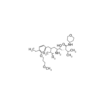 CCc1ccc(CC(C[C@H](N)C(O)C[C@H](C(=O)NC2CCOCC2)C(C)C)C(C)C)cc1OCCCOC